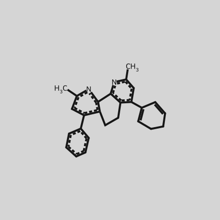 Cc1cc(C2=CCCC=C2)c2c(n1)-c1nc(C)cc(-c3ccccc3)c1CC2